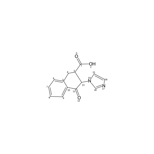 O=C(O)C1Cc2ccccc2C(=O)C1n1ccnc1